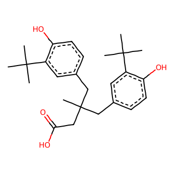 CC(CC(=O)O)(Cc1ccc(O)c(C(C)(C)C)c1)Cc1ccc(O)c(C(C)(C)C)c1